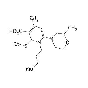 CCSC1C(C(=O)O)=C(C)C=C(N2CCOC(C)C2)N1CCCC(C)(C)C